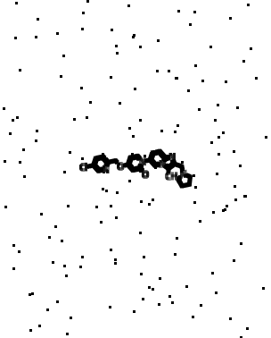 Cc1c(CN2CCCC2)nc2ccc(-n3ccc(OCc4ccc(Cl)cn4)cc3=O)cn12